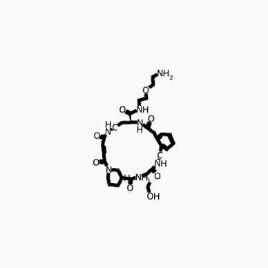 NCCOCCNC(=O)[C@@H]1CCNC(=O)/C=C/C(=O)N2CCC[C@H](C2)C(=O)N[C@@H](CCO)C(=O)NCc2ccccc2CC(=O)N1